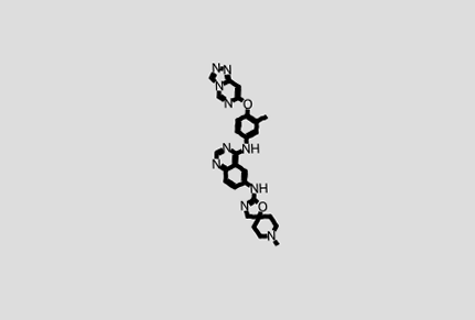 Cc1cc(Nc2ncnc3ccc(NC4=NCC5(CCN(C)CC5)O4)cc23)ccc1Oc1cc2nncn2cn1